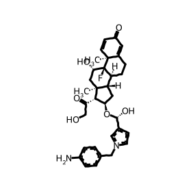 C[C@]12C[C@H](O)[C@@]3(F)[C@@H](CCC4=CC(=O)C=C[C@@]43C)[C@@H]1C[C@@H](O[C@H](O)c1ccn(Cc3ccc(N)cc3)c1)[C@@H]2C(=O)CO